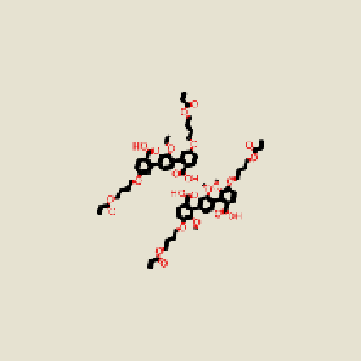 C=CC(=O)OCCCCOc1ccc(C(=O)O)c(-c2ccc(-c3c(C(=O)O)ccc(OCCCCOC(=O)C=C)c3OC)c(OC)c2)c1OC.C=CC(=O)OCCCCOc1ccc(C(=O)O)c(-c2ccc(-c3cc(OCCCCOC(=O)C=C)ccc3C(=O)O)c(OCC)c2)c1